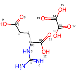 N=C(N)N[C@H](CCC(=O)O)C(=O)O.O=C(O)C(=O)O